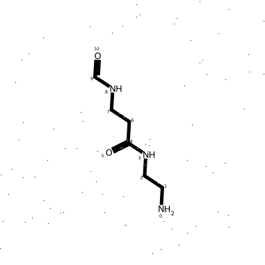 NCCNC(=O)CCNC=O